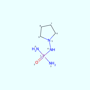 NP(N)(=O)NN1CCCC1